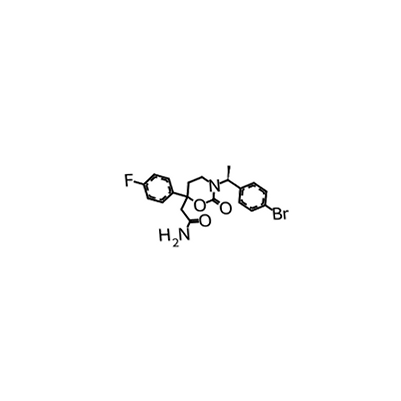 C[C@@H](c1ccc(Br)cc1)N1CCC(CC(N)=O)(c2ccc(F)cc2)OC1=O